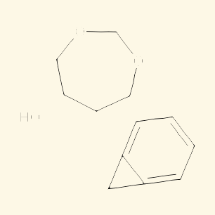 O[C@H]1CCOCOC1.c1ccc2c(c1)C2